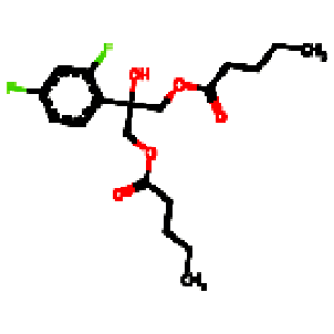 CCCCC(=O)OCC(O)(COC(=O)CCCC)c1ccc(F)cc1F